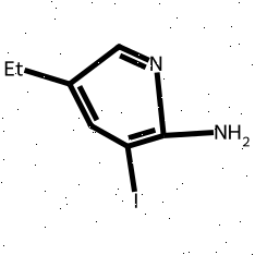 CCc1cnc(N)c(I)c1